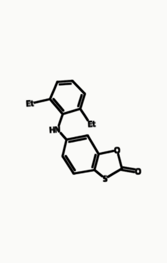 CCc1cccc(CC)c1Nc1ccc2sc(=O)oc2c1